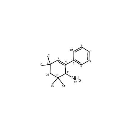 CC1(C)C=C(c2ccccc2)C(N)C(C)(C)C1